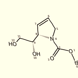 CC(C)(C)OC(=O)N1CC=C[C@H]1[C@H](O)CO